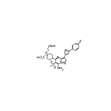 COCCOC1(C(=O)O)CCC(c2nc3c(-c4cnn(-c5ccc(F)cc5)c4)cnn3c(N)c2S(C)(=O)=O)CC1